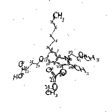 CCCCCCc1cc2c(cc1OCCCC(=O)O)c(OC(=O)OCC)c(C)n2CCOC